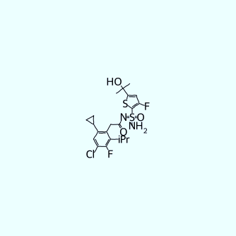 CC(C)c1c(F)c(Cl)cc(C2CC2)c1CC(=O)N=[S@@](N)(=O)c1sc(C(C)(C)O)cc1F